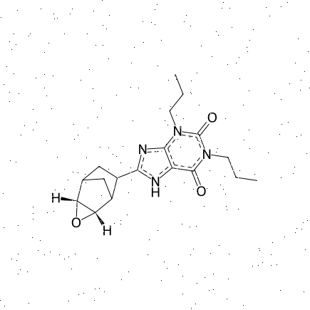 CCCn1c(=O)c2[nH]c(C3CC4CC3[C@@H]3O[C@H]43)nc2n(CCC)c1=O